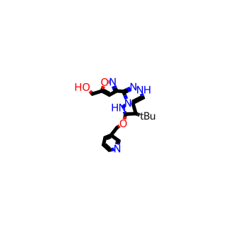 CC(C)(C)C1C2=CNN=C(c3cc(CO)on3)N2NC1OCc1cccnc1